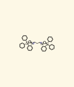 C(/C/C=N/O[Si](c1ccccc1)(c1ccccc1)c1ccccc1)=N\O[Si](c1ccccc1)(c1ccccc1)c1ccccc1